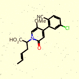 C/C=C/CC(C(=O)O)n1cc(OC)c(-c2cc(Cl)ccc2C#N)cc1=O